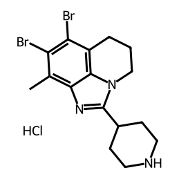 Cc1c(Br)c(Br)c2c3c1nc(C1CCNCC1)n3CCC2.Cl